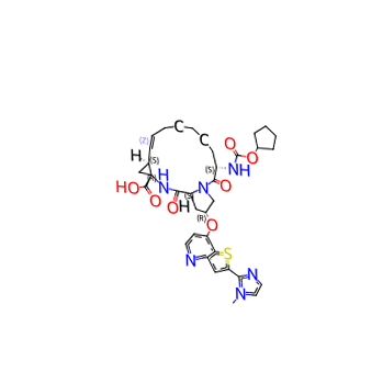 Cn1ccnc1-c1cc2nccc(O[C@@H]3C[C@H]4C(=O)N[C@]5(C(=O)O)C[C@H]5/C=C\CCCCC[C@H](NC(=O)OC5CCCC5)C(=O)N4C3)c2s1